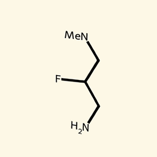 CNCC(F)CN